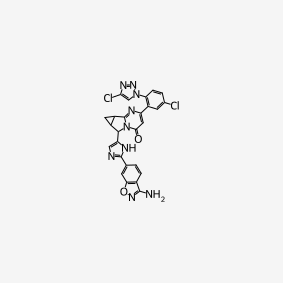 Nc1noc2cc(-c3ncc(C4C5CC5c5nc(-c6cc(Cl)ccc6-n6cc(Cl)nn6)cc(=O)n54)[nH]3)ccc12